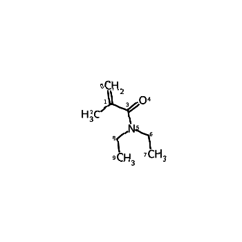 C=C(C)C(=O)N(CC)CC